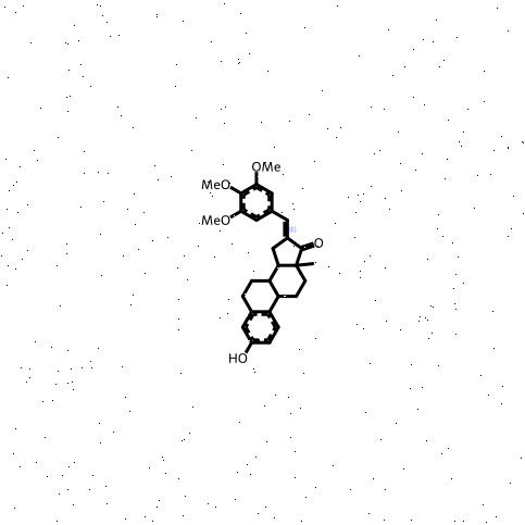 COc1cc(/C=C2\CC3C4CCc5cc(O)ccc5C4CCC3(C)C2=O)cc(OC)c1OC